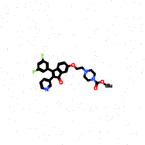 CC(C)(C)OC(=O)N1CCN(CCOc2ccc3c(c2)C(=O)C(c2cccnc2)=C3c2cc(F)cc(F)c2)CC1